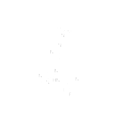 CC1(CNc2nc(-c3ccc(N4CCN(S(C)(=O)=O)CC4)nc3)cc3nccnc23)CNCCC1(F)F